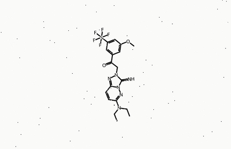 CCN(CC)c1ccc2nn(CC(=O)c3cc(OC)cc(S(F)(F)(F)(F)F)c3)c(=N)n2n1